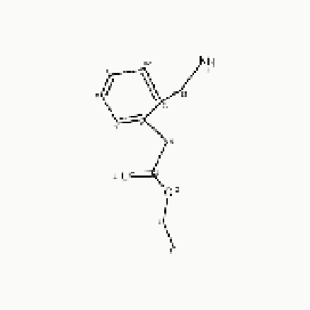 CCOC(=O)Cc1ccccc1C[NH]